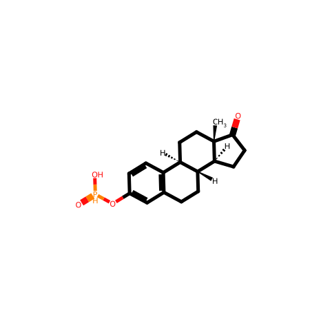 C[C@]12CC[C@@H]3c4ccc(O[PH](=O)O)cc4CC[C@H]3[C@@H]1CCC2=O